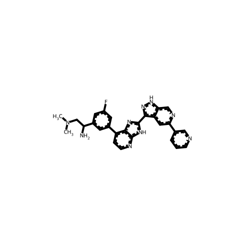 CN(C)CC(N)c1cc(F)cc(-c2ccnc3[nH]c(-c4n[nH]c5cnc(-c6cccnc6)cc45)nc23)c1